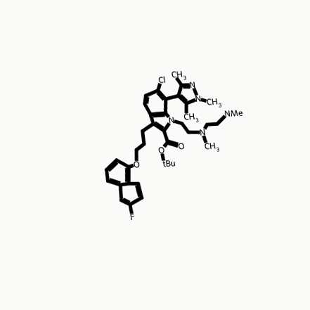 CNCCN(C)CCn1c(C(=O)OC(C)(C)C)c(CCCOc2cccc3cc(F)ccc23)c2ccc(Cl)c(-c3c(C)nn(C)c3C)c21